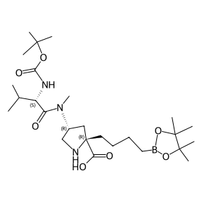 CC(C)[C@H](NC(=O)OC(C)(C)C)C(=O)N(C)[C@H]1CN[C@@](CCCCB2OC(C)(C)C(C)(C)O2)(C(=O)O)C1